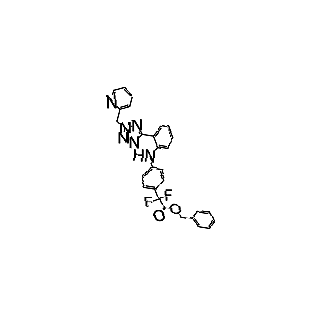 O=C(OCc1ccccc1)C(F)(F)c1ccc(Nc2ccccc2-c2nnn(Cc3ccccn3)n2)cc1